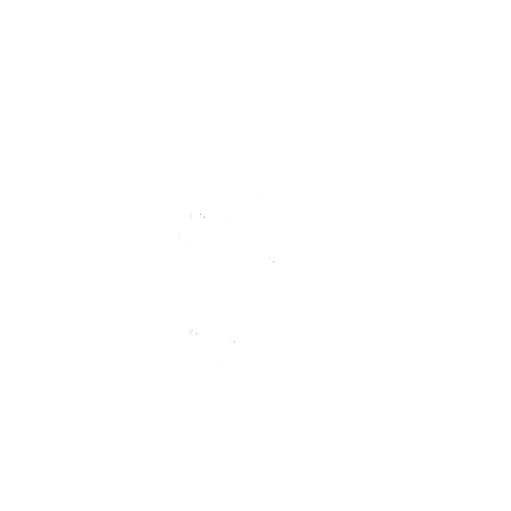 CNC(=O)OC1(CCN(C)CCCc2nc3ccccc3[nH]2)COc2cc(F)ccc2C1C(C)C